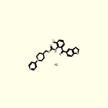 Cl.Nc1cccc(C(=O)c2ccc3c(c2)CCO3)c1NC(=O)OCC1CCN(c2ccncc2)CC1